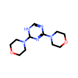 [C]1=NC(N2CCOCC2)=NC(N2CCOCC2)N1